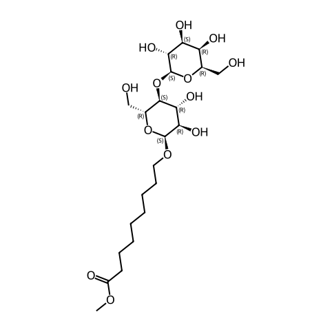 COC(=O)CCCCCCCCO[C@H]1O[C@H](CO)[C@@H](O[C@@H]2O[C@H](CO)[C@H](O)[C@H](O)[C@H]2O)[C@H](O)[C@H]1O